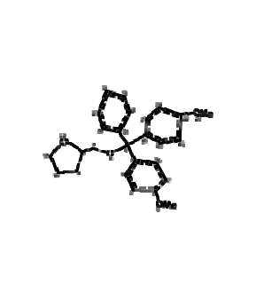 COc1ccc(C(OCC2CCCO2)(c2ccccc2)c2ccc(OC)cc2)cc1